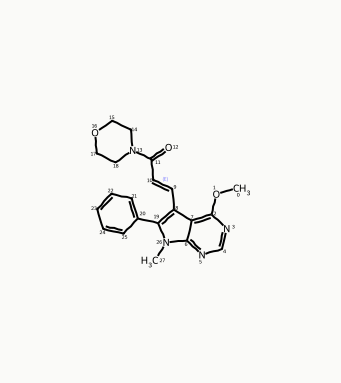 COc1ncnc2c1c(/C=C/C(=O)N1CCOCC1)c(-c1ccccc1)n2C